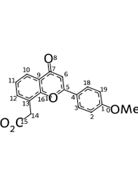 COc1ccc(-c2cc(=O)c3cccc(CC(=O)O)c3o2)cc1